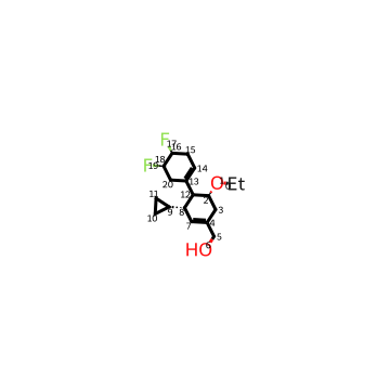 CCO[C@@H]1CC(CO)=C[C@H](C2CC2)C1C1=CC[C@H](F)[C@H](F)C1